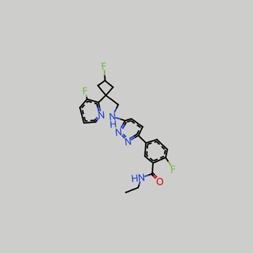 CCNC(=O)c1cc(-c2ccc(NCC3(c4ncccc4F)CC(F)C3)nn2)ccc1F